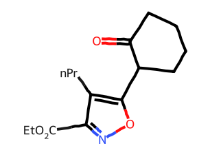 CCCc1c(C(=O)OCC)noc1C1CCCCC1=O